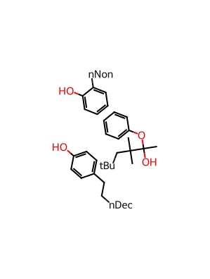 CC(C)(C)CC(C)(C)C(C)(O)Oc1ccccc1.CCCCCCCCCCCCc1ccc(O)cc1.CCCCCCCCCc1ccccc1O